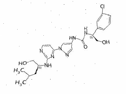 CC(C)C[C@@H](CO)Nc1nccc(-n2cc(NC(=O)N[C@H](CO)c3cccc(Cl)c3)cn2)n1